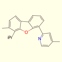 Cc1ccnc(-c2cccc3c2oc2c(C(C)C)c(C)ccc23)c1